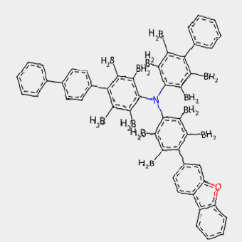 Bc1c(B)c(N(c2c(B)c(B)c(-c3ccc(-c4ccccc4)cc3)c(B)c2B)c2c(B)c(B)c(-c3ccc4c(c3)oc3ccccc34)c(B)c2B)c(B)c(B)c1-c1ccccc1